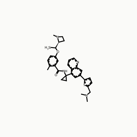 Cc1ccc(OC([SiH3])[C@@H]2CCN2C)cc1C(=O)NC1(c2cc(-c3ccc(CN(C)C)s3)cc3ncccc23)CC1